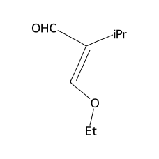 CCO/C=C(/C=O)C(C)C